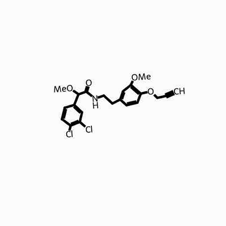 C#CCOc1ccc(CCNC(=O)C(OC)c2ccc(Cl)c(Cl)c2)cc1OC